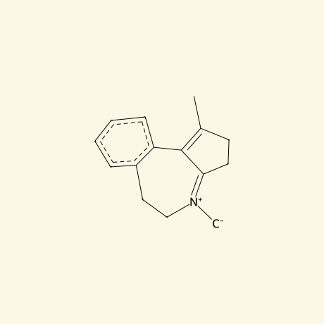 [CH2-][N+]1=C2CCC(C)=C2c2ccccc2CC1